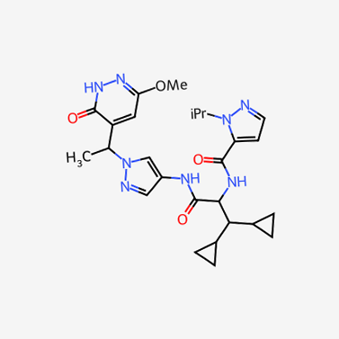 COc1cc(C(C)n2cc(NC(=O)C(NC(=O)c3ccnn3C(C)C)C(C3CC3)C3CC3)cn2)c(=O)[nH]n1